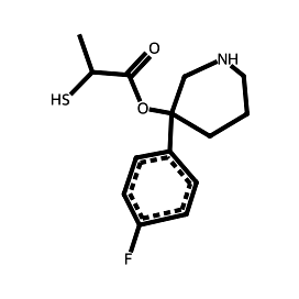 CC(S)C(=O)OC1(c2ccc(F)cc2)CCCNC1